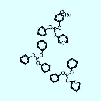 [Cl][Ru].c1ccc(OP(Oc2ccccc2)Oc2ccccc2)cc1.c1ccc(OP(Oc2ccccc2)Oc2ccccc2)cc1.c1ccc(OP(Oc2ccccc2)Oc2ccccc2)cc1